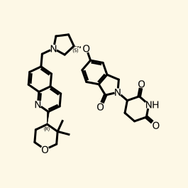 CC1(C)COCC[C@H]1c1ccc2cc(CN3CC[C@H](Oc4ccc5c(c4)CN(C4CCC(=O)NC4=O)C5=O)C3)ccc2n1